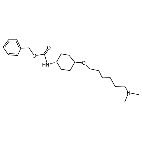 CN(C)CCCCCCO[C@H]1CC[C@H](NC(=O)OCc2ccccc2)CC1